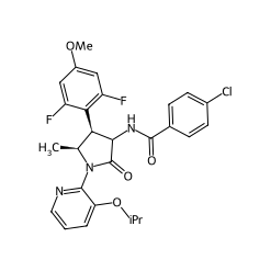 COc1cc(F)c([C@H]2C(NC(=O)c3ccc(Cl)cc3)C(=O)N(c3ncccc3OC(C)C)[C@H]2C)c(F)c1